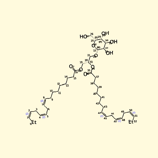 CC/C=C\C/C=C\C/C=C\CCCCCCCC(=O)OC[C@H](CO[C@@H]1O[C@H](CO)[C@H](O)C(O)C1O)OC(=O)CCCCCCC/C=C\C/C=C\C/C=C\CC